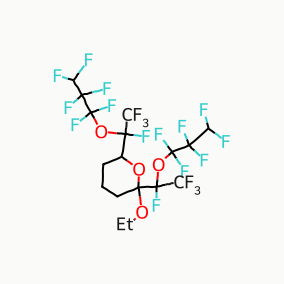 CCOC1(C(F)(OC(F)(F)C(F)(F)C(F)F)C(F)(F)F)CCCC(C(F)(OC(F)(F)C(F)(F)C(F)F)C(F)(F)F)O1